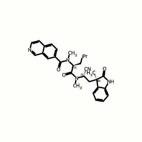 CC(C)C[C@@H](C(=O)N(C)[C@H](C#N)C[C@@]1(C)C(=O)Nc2ccccc21)N(C)C(=O)c1ccc2ccncc2c1